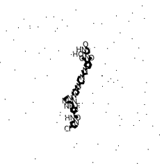 Nc1nccn2c(N3CCC4(CC3)CN(C3CCN(C5CN(c6ccc7c(c6)C(=O)N(C6CCC(=O)NC6O)C7=O)C5)CC3)C4)nc(-c3ccc(C(=O)Nc4cc(Cl)ccn4)cc3F)c12